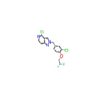 FC(F)COc1ccc(Cn2cc3c(Cl)nccc3n2)cc1Cl